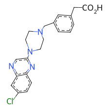 O=C(O)Cc1cccc(CN2CCN(c3cnc4cc(Cl)ccc4n3)CC2)c1